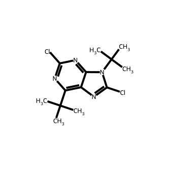 CC(C)(C)c1nc(Cl)nc2c1nc(Cl)n2C(C)(C)C